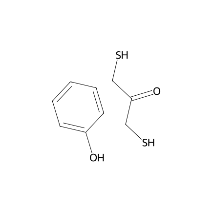 O=C(CS)CS.Oc1ccccc1